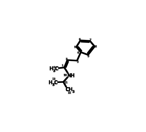 C/C(=C/Cc1ccccc1)NC(C)C